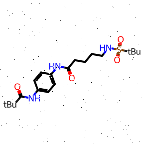 CC(C)(C)C(=O)Nc1ccc(NC(=O)CCCCNS(=O)(=O)C(C)(C)C)cc1